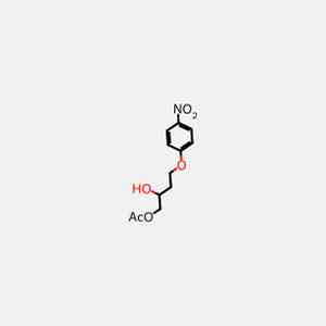 CC(=O)OCC(O)CCOc1ccc([N+](=O)[O-])cc1